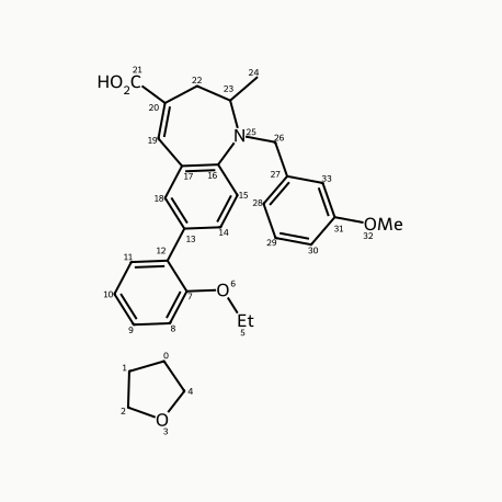 C1CCOC1.CCOc1ccccc1-c1ccc2c(c1)C=C(C(=O)O)CC(C)N2Cc1cccc(OC)c1